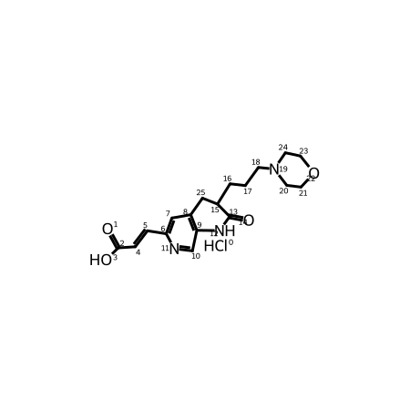 Cl.O=C(O)/C=C/c1cc2c(cn1)NC(=O)C(CCCN1CCOCC1)C2